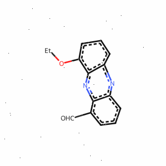 CCOc1cccc2nc3cccc(C=O)c3nc12